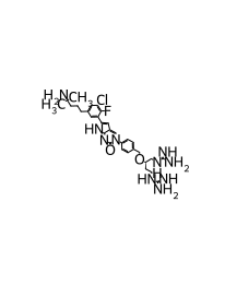 CC(C)(N)CCCc1cc(Cl)c(F)c(-c2cc3cn(-c4ccc(CO[C@H](CCNC(=N)N)CNC(=N)N)cc4)c(=O)nc3[nH]2)c1